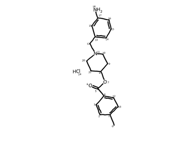 Cc1ccc(C(=O)OC2CCN(Cc3cccc(N)c3)CC2)cc1.Cl